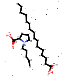 CCCCCCCCCCCCCCCC(=O)O.CCCCCN1CCCC1C(=O)O